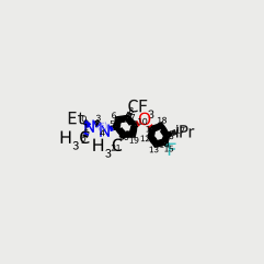 CCN(C)/C=N/c1cc(C(F)(F)F)c(Oc2ccc(F)c(C(C)C)c2)cc1C